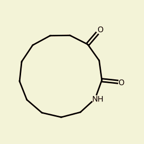 O=C1CCCCCCCCCNC(=O)C1